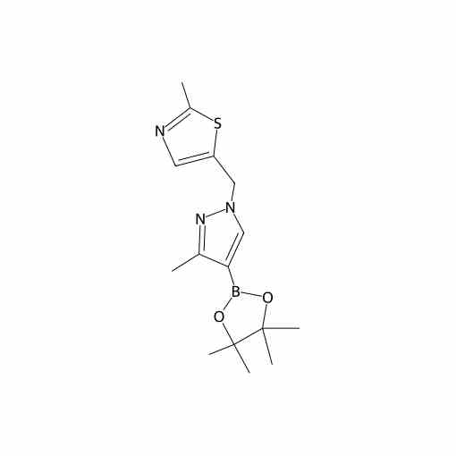 Cc1ncc(Cn2cc(B3OC(C)(C)C(C)(C)O3)c(C)n2)s1